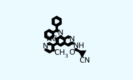 Cc1ccncc1-c1cc2cc(NC(=O)C3CC3C#N)ncc2c(N=C(c2ccccc2)c2ccccc2)c1C#N